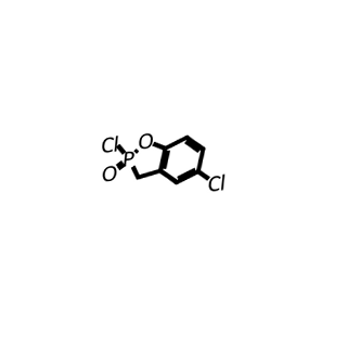 O=P1(Cl)Cc2cc(Cl)ccc2O1